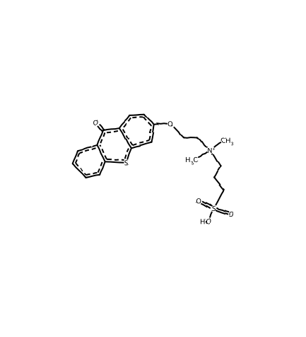 C[N+](C)(CCCS(=O)(=O)O)CCOc1ccc2c(=O)c3ccccc3sc2c1